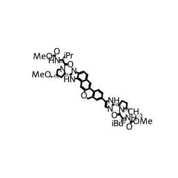 CC[C@H](C)[C@H](NC(=O)OC)C(=O)N1[C@@H](C)CC[C@H]1c1ncc(-c2ccc3c(c2)COc2cc4c(ccc5nc([C@@H]6C[C@H](COC)CN6C(=O)[C@@H](NC(=O)OC)C(C)C)[nH]c54)cc2-3)[nH]1